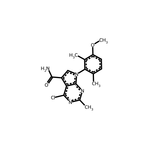 COc1ccc(C)c(-n2cc(C(N)=O)c3c(Cl)nc(C)nc32)c1C